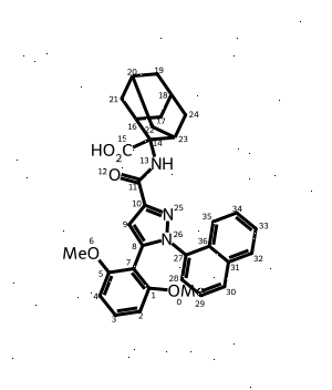 COc1cccc(OC)c1-c1cc(C(=O)NC2(C(=O)O)C3CC4CC(C3)CC2C4)nn1-c1cccc2ccccc12